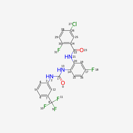 O=C(Nc1cccc(C(F)(F)F)c1)Nc1ccc(F)cc1NC(=O)c1cc(Cl)ccc1F